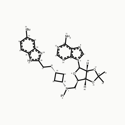 CC(C)N(C[C@H]1OC(n2cnc3c(N)ncnc32)[C@@H]2OC(C)(C)O[C@H]12)[C@H]1C[C@@H](CCc2nc3cc(C(C)(C)C)ccc3[nH]2)C1